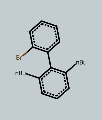 CCCCc1cccc(CCCC)c1-c1ccc[c]c1Br